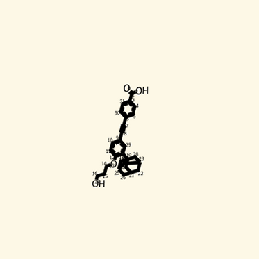 O=C(O)c1ccc(C#Cc2ccc(OCCCO)c(C34CC5CC(CC(C5)C3)C4)c2)cc1